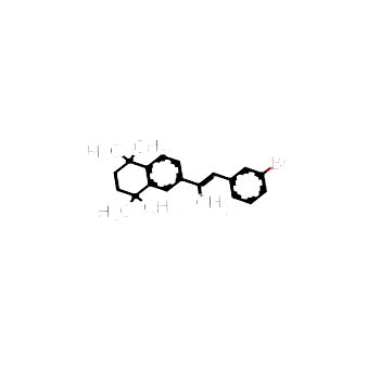 CC(=Cc1cccc(Br)c1)c1ccc2c(c1)C(C)(C)CCC2(C)C